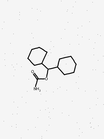 NC(=O)OC(C1CCCCC1)C1CCCCC1